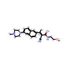 COCCNC(=O)/C(C#N)=C(\C)c1ccc2cc(N3CCN(C)CC3)ccc2c1